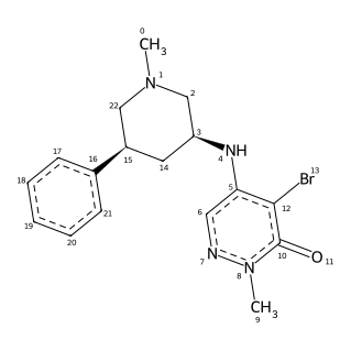 CN1C[C@@H](Nc2cnn(C)c(=O)c2Br)C[C@@H](c2ccccc2)C1